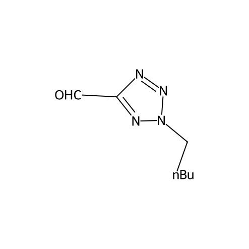 CCCCCn1nnc(C=O)n1